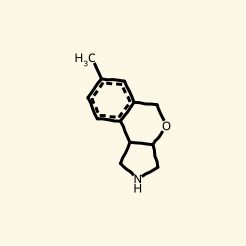 Cc1ccc2c(c1)COC1CNCC21